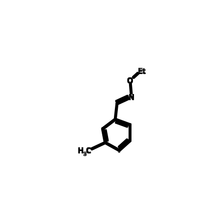 CCON=Cc1cc[c]c(C)c1